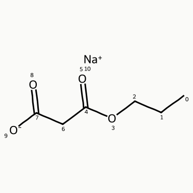 CCCOC(=O)CC(=O)[O-].[Na+]